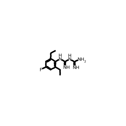 CCc1cc(F)cc(CC)c1NC(=N)NC(=N)N